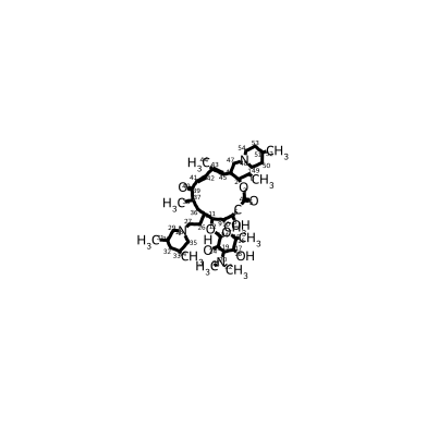 CCC1OC(=O)CC(O)C(C)C(OC2OC(C)C(O)C(N(C)C)C2O)C(CCN2CC(C)CC(C)C2)CC(C)C(=O)/C=C/C(C)=C/C1CN1CCC(C)CC1